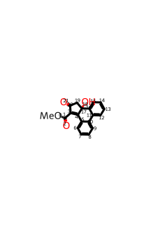 COC(=O)C1=C2c3ccccc3-c3ccccc3C2(O)CC1=O